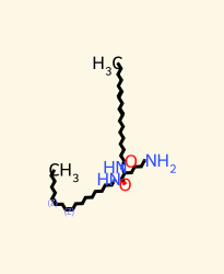 CCCCCC=CCC=CCCCCCCCC(=O)NC(CCCCN)C(=O)NCCCCCCCC/C=C\C/C=C\CCCCC